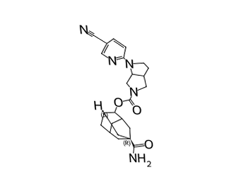 N#Cc1ccc(N2CCC3CN(C(=O)OC4C5CC6C[C@H]4C[C@@](C(N)=O)(C6)C5)CC32)nc1